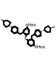 CCCCCCc1ccc(Sc2ccc(CCCCCC)cc2Cc2ccc([C@H]3CC[C@H](C)CC3)cc2)c(Cc2ccc([C@H]3CC[C@H](C)CC3)cc2)c1